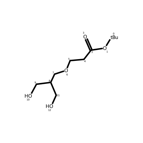 CC(C)(C)OC(=O)CCOCC(CO)CO